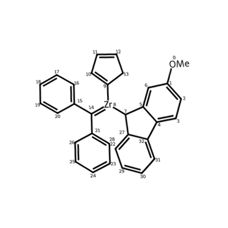 COc1ccc2c(c1)[CH]([Zr]([C]1=CC=CC1)=[C](c1ccccc1)c1ccccc1)c1ccccc1-2